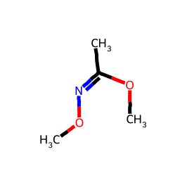 CO/N=C(/C)OC